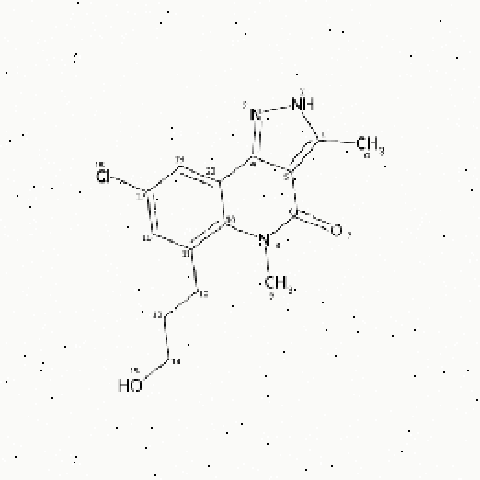 Cc1[nH]nc2c1c(=O)n(C)c1c(CCCO)cc(Cl)cc21